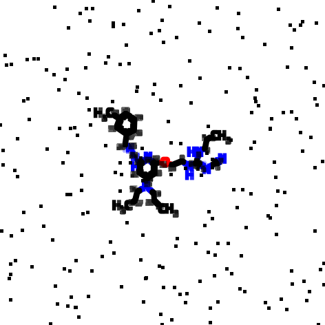 CCCN/C(=N\C#N)NCCOc1cc(N(CCC)CCC)cc(N/N=C/c2cccc(C)c2)n1